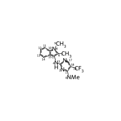 CNc1nc(Nc2c(C)n(C)c3ccccc23)ncc1C(F)(F)F